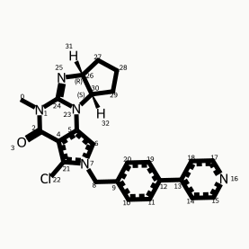 CN1C(=O)c2c(cn(Cc3ccc(-c4ccncc4)cc3)c2Cl)N2C1=N[C@@H]1CCC[C@@H]12